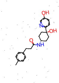 Cc1ccc(CCC(=O)N[C@H]2CC[C@@](O)(c3ccc(O)cn3)CC2)cc1